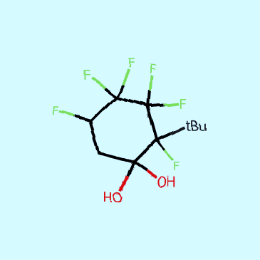 CC(C)(C)C1(F)C(O)(O)CC(F)C(F)(F)C1(F)F